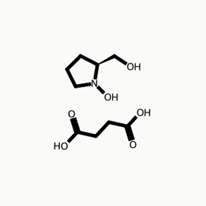 O=C(O)CCC(=O)O.OC[C@@H]1CCCN1O